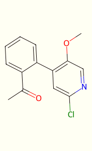 COc1cnc(Cl)cc1-c1ccccc1C(C)=O